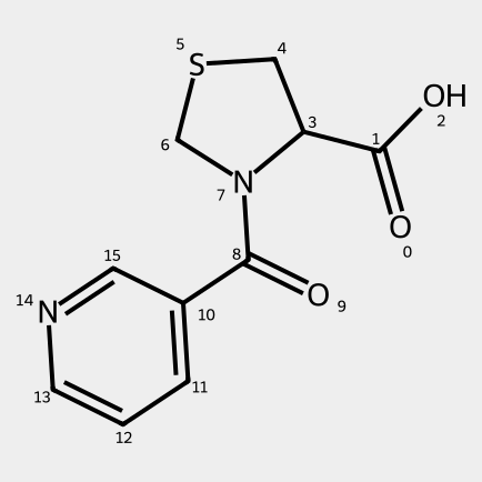 O=C(O)C1CSCN1C(=O)c1cccnc1